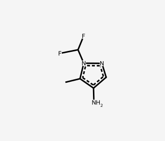 Cc1c(N)cnn1C(F)F